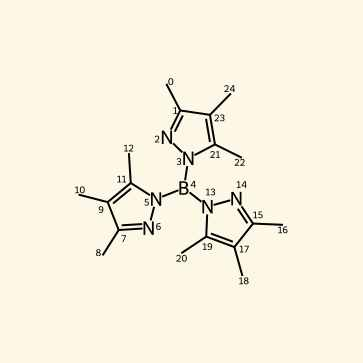 Cc1nn(B(n2nc(C)c(C)c2C)n2nc(C)c(C)c2C)c(C)c1C